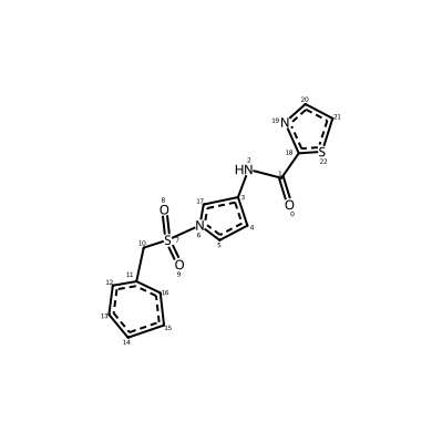 O=C(Nc1ccn(S(=O)(=O)Cc2ccccc2)c1)c1nccs1